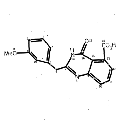 COc1cccc(Cc2nc3cccc(C(=O)O)c3c(=O)[nH]2)c1